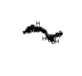 Cc1ccsc1-c1ccc(CNC(=O)[C@@H]2C[C@@H](O)CN2C(=O)[C@@H](NC(=O)CCCCN2CCN(c3ccc(Nc4cc(-c5cccc(-n6ccc7cc(C8CC8)cc(F)c7c6=O)c5CO)cn(C)c4=O)nc3)CC2)C(C)(C)C)cc1